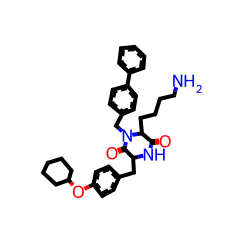 NCCCCC1C(=O)NC(Cc2ccc(OC3CCCCC3)cc2)C(=O)N1Cc1ccc(-c2ccccc2)cc1